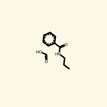 CCCNC(=O)c1ccccc1.O=CO